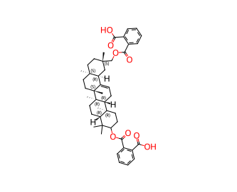 CC1(C)C(OC(=O)c2ccccc2C(=O)O)CC[C@]2(C)[C@H]3CC=C4[C@@H]5C[C@@](C)(COC(=O)c6ccccc6C(=O)O)CC[C@]5(C)CC[C@@]4(C)[C@]3(C)CC[C@@H]12